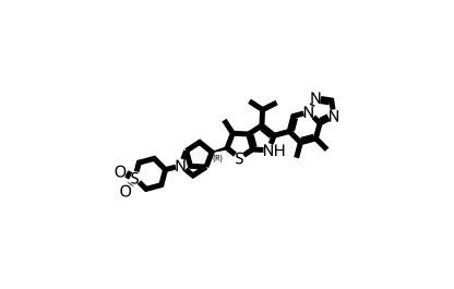 Cc1c(-c2[nH]c3c(c2C(C)C)C(C)C([C@@H]2CC4CC2CN4C2CCS(=O)(=O)CC2)S3)cn2ncnc2c1C